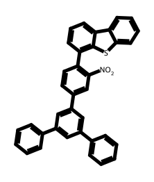 O=[N+]([O-])c1cc(-c2cc(-c3ccccc3)cc(-c3ccccc3)c2)ccc1-c1cccc2c1sc1ccccc12